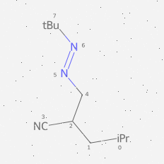 CC(C)CC(C#N)CN=NC(C)(C)C